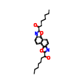 CCCCCCC(=O)c1nc2ccc3c(ccc4nc(C(=O)CCCCCC)oc43)c2o1